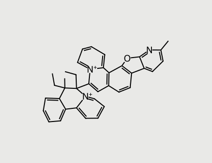 CCC1(C)c2ccccc2-c2cccc[n+]2C1(CC)c1cc2ccc3c4ccc(C)nc4oc3c2c2cccc[n+]12